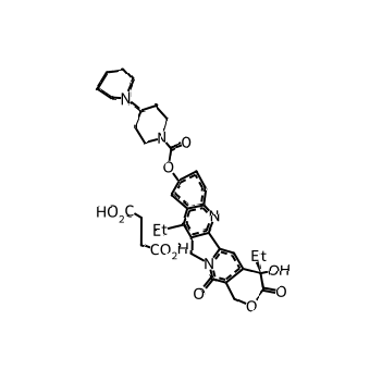 CCc1c2c(nc3ccc(OC(=O)N4CCC(N5CCCCC5)CC4)cc13)-c1cc3c(c(=O)n1C2)COC(=O)[C@]3(O)CC.O=C(O)CCC(=O)O